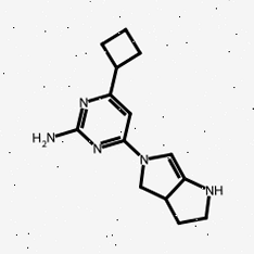 Nc1nc(C2CCC2)cc(N2C=C3NCCC3C2)n1